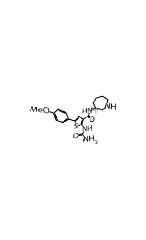 COc1ccc(-c2cc(C(=O)N[C@@]3(C)CCCCNC3)c(NC(N)=O)s2)cc1